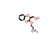 CCCOC(=O)C(=CO)Oc1ccccc1